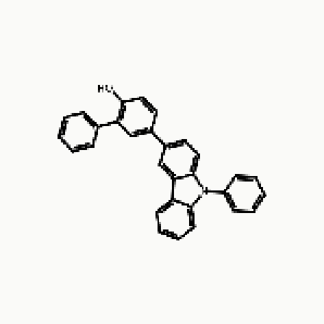 Oc1ccc(-c2ccc3c(c2)c2ccccc2n3-c2ccccc2)cc1-c1ccccc1